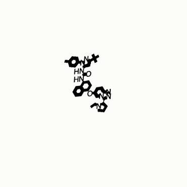 CCN1CCC[C@H]1c1nnc2ccc(O[C@@H]3CC[C@H](NC(=O)Nc4cc(C(C)(C)C)nn4-c4ccc(C)cc4)c4ccccc43)cn12